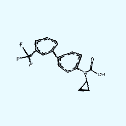 O=C(O)N(c1ccc(-c2cccc(C(F)(F)F)c2)cc1)C1CC1